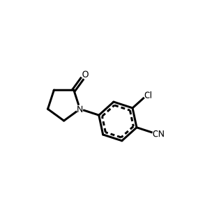 N#Cc1ccc(N2CCCC2=O)cc1Cl